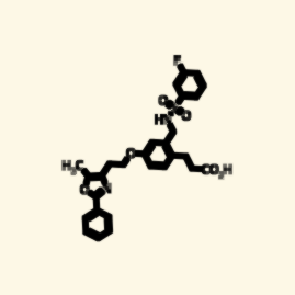 Cc1oc(-c2ccccc2)nc1CCOc1ccc(CCC(=O)O)c(CNS(=O)(=O)c2cccc(F)c2)c1